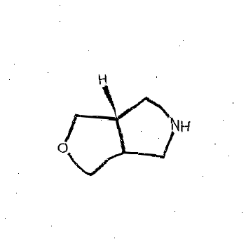 C1NC[C@H]2COCC12